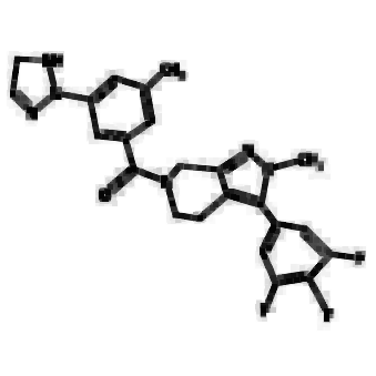 Cc1cc(C(=O)N2CCc3c(nn(C)c3-c3cc(F)c(F)c(F)c3)C2)cc(N2N=CCN2)c1